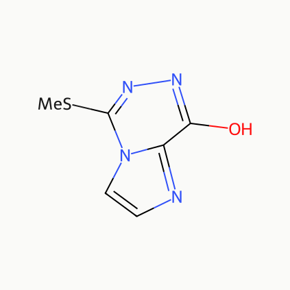 CSc1nnc(O)c2nccn12